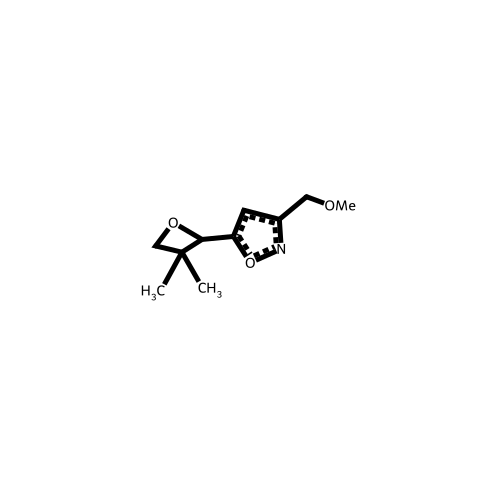 COCc1cc(C2OCC2(C)C)on1